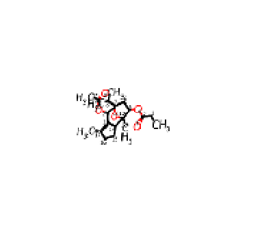 CCC(=O)OC1CC2(C(C)C)OC1(C)C1CCC(C)=C1C2OC(C)=O